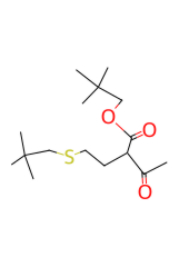 CC(=O)C(CCSCC(C)(C)C)C(=O)OCC(C)(C)C